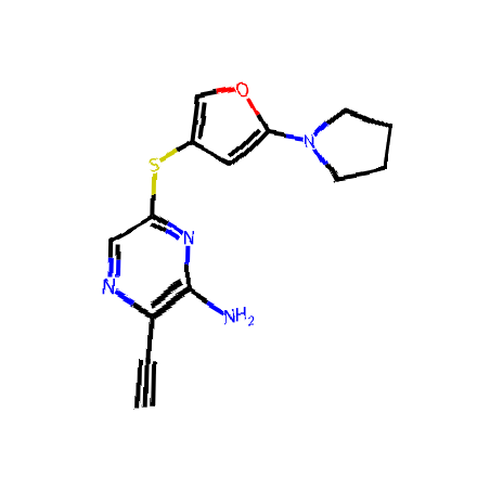 C#Cc1ncc(Sc2coc(N3CCCC3)c2)nc1N